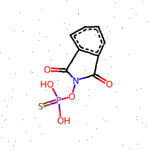 O=C1c2ccccc2C(=O)N1OP(O)(O)=S